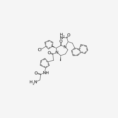 C[C@@H]1CCN(C(Cc2cccc3ccccc23)C(N)=O)C(=O)[C@H](c2cccc(Cl)c2)N1C(=O)Cc1cccc(NC(=O)CN)c1